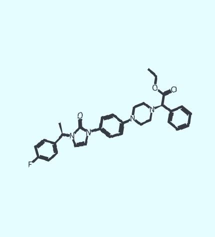 CCOC(=O)[C@@H](c1ccccc1)N1CCN(c2ccc(-n3ccn([C@H](C)c4ccc(F)cc4)c3=O)cc2)CC1